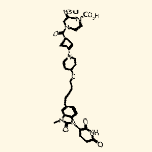 Cn1c(=O)n(C2CCC(=O)NC2=O)c2ccc(CCCOC3CCN([C@H]4C[C@H](C(=O)N5CCN(C(=O)O)C(C(C)(C)C)C5)C4)CC3)cc21